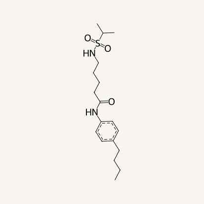 CCCCc1ccc(NC(=O)CCCCNS(=O)(=O)C(C)C)cc1